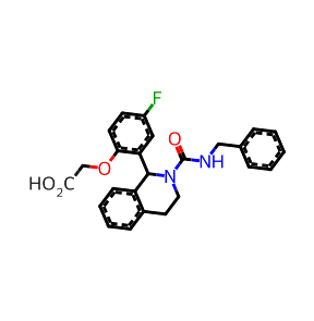 O=C(O)COc1ccc(F)cc1C1c2ccccc2CCN1C(=O)NCc1ccccc1